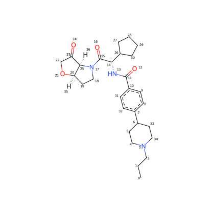 CCCN1CCC(c2ccc(C(=O)N[C@H](C(=O)N3CC[C@H]4OCC(=O)[C@H]43)C3CCCC3)cc2)CC1